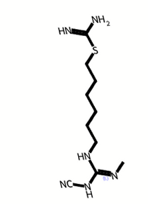 C/N=C(/NC#N)NCCCCCCSC(=N)N